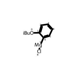 CC(C)COc1cccc[c]1[Mg][Cl]